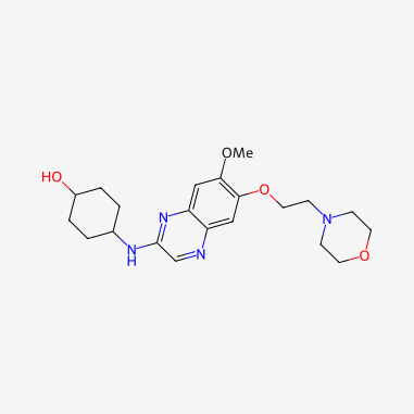 COc1cc2nc(NC3CCC(O)CC3)cnc2cc1OCCN1CCOCC1